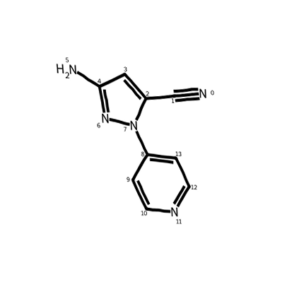 N#Cc1cc(N)nn1-c1ccncc1